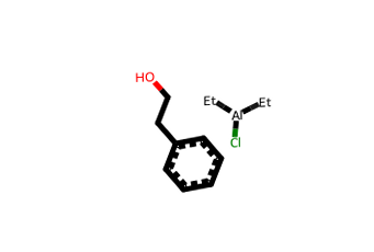 C[CH2][Al]([Cl])[CH2]C.OCCc1ccccc1